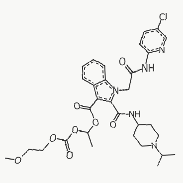 COCCOC(=O)OC(C)OC(=O)c1c(C(=O)NC2CCN(C(C)C)CC2)n(CC(=O)Nc2ccc(Cl)cn2)c2ccccc12